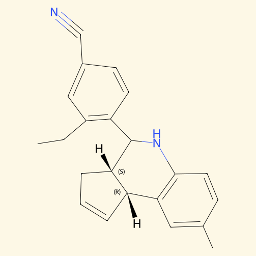 CCc1cc(C#N)ccc1C1Nc2ccc(C)cc2[C@@H]2C=CC[C@H]12